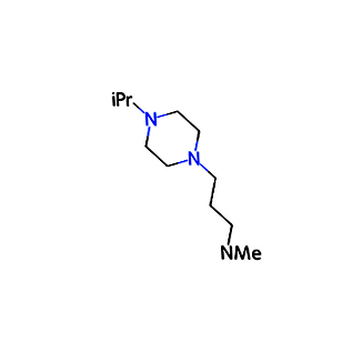 CNCCCN1CCN(C(C)C)CC1